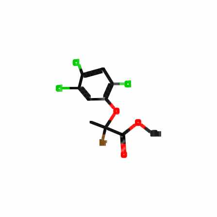 CC(C)(C)OC(=O)C(C)(Br)Oc1cc(Cl)c(Cl)cc1Cl